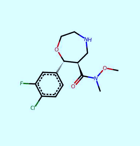 CON(C)C(=O)[C@@H]1CNCCO[C@H]1c1ccc(Cl)c(F)c1